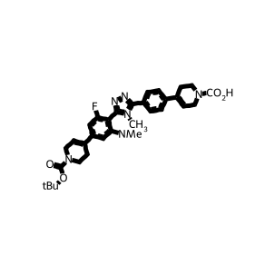 CNc1cc(C2=CCN(C(=O)OC(C)(C)C)CC2)cc(F)c1-c1nnc(-c2ccc(C3=CCN(C(=O)O)CC3)cc2)n1C